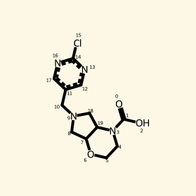 O=C(O)N1CCOC2CN(Cc3cnc(Cl)nc3)CC21